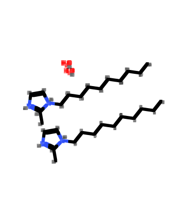 CCCCCCCCCCn1ccnc1C.CCCCCCCCCCn1ccnc1C.O.O